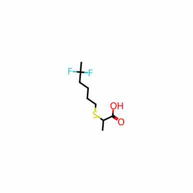 CC(SCCCCC(C)(F)F)C(=O)O